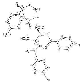 Cc1ccc(C(=O)O[C@H](C(=O)O)[C@H](OC(=O)c2ccc(C)cc2)C(=O)O)cc1.FC(F)(F)c1ccc2c(c1)[C@H]1CNC[C@@H]2C1